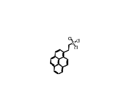 Cl[Si](Cl)(Cl)CCc1ccc2ccc3cccc4ccc1c2c34